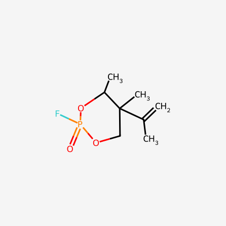 C=C(C)C1(C)COP(=O)(F)OC1C